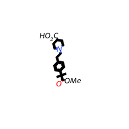 COC(=O)C(C)(C)c1ccc(CCN2CCC(C(=O)O)CC2)cc1